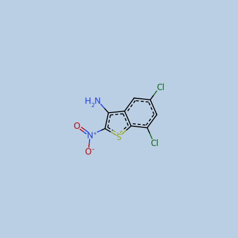 Nc1c([N+](=O)[O-])sc2c(Cl)cc(Cl)cc12